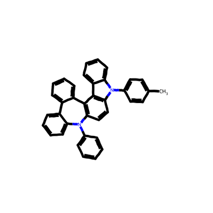 Cc1ccc(-n2c3ccccc3c3c4c(ccc32)N(c2ccccc2)c2ccccc2-c2ccccc2-4)cc1